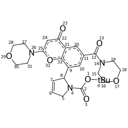 CC(C)(C)OC(=O)N1CC=CC1c1cc(C(=O)N2CCOCC2)cc2c(=O)cc(N3CCOCC3)oc12